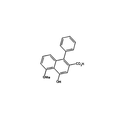 COc1cccc2c(-c3ccccc3)c(C(=O)O)cc(O)c12